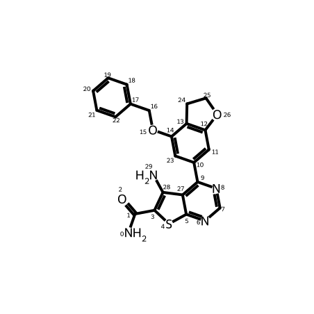 NC(=O)c1sc2ncnc(-c3cc4c(c(OCc5ccccc5)c3)CCO4)c2c1N